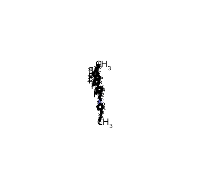 CCCCCC1CCC(/C=C/CCc2ccc(-c3cc4c(c(F)c3F)-c3c(cc(CCC)c(F)c3F)C4)cc2F)CC1